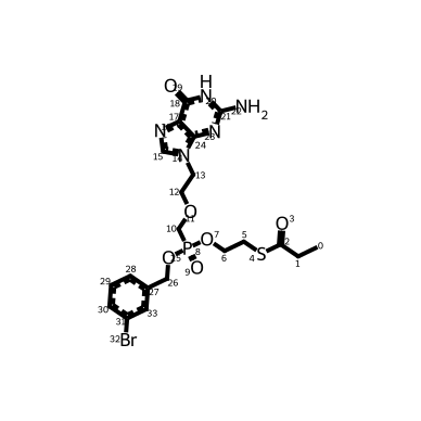 CCC(=O)SCCOP(=O)(COCCn1cnc2c(=O)[nH]c(N)nc21)OCc1cccc(Br)c1